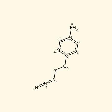 Bc1ccc(OCN=[N+]=[N-])nc1